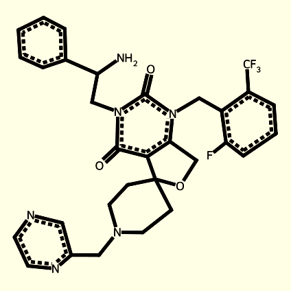 NC(Cn1c(=O)c2c(n(Cc3c(F)cccc3C(F)(F)F)c1=O)COC21CCN(Cc2cnccn2)CC1)c1ccccc1